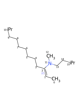 C/C=C(/CCCCCCCC(C)C)N(C)CCC(C)C